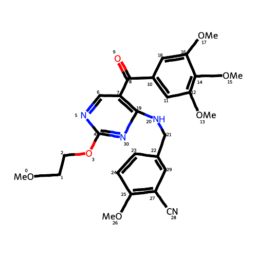 COCCOc1ncc(C(=O)c2cc(OC)c(OC)c(OC)c2)c(NCc2ccc(OC)c(C#N)c2)n1